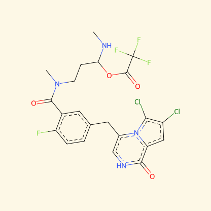 CNC(CCN(C)C(=O)c1cc(Cc2c[nH]c(=O)c3cc(Cl)c(Cl)n23)ccc1F)OC(=O)C(F)(F)F